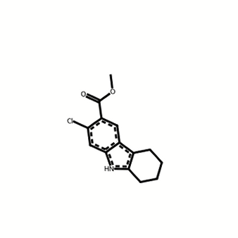 COC(=O)c1cc2c3c([nH]c2cc1Cl)CCCC3